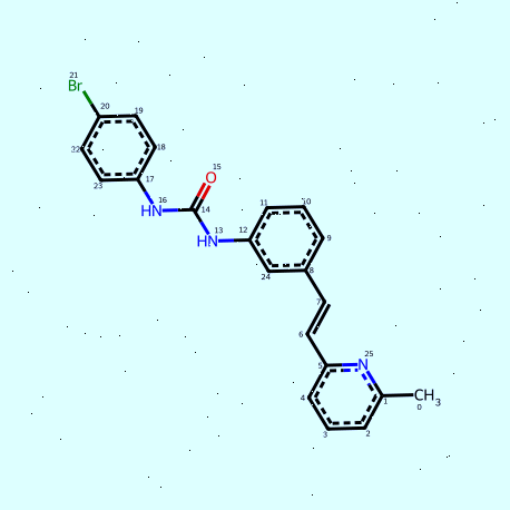 Cc1cccc(C=Cc2cccc(NC(=O)Nc3ccc(Br)cc3)c2)n1